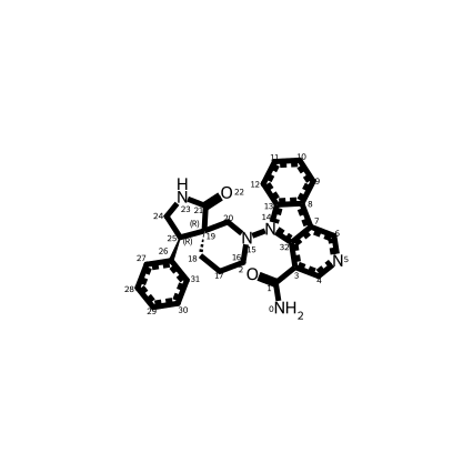 NC(=O)c1cncc2c3ccccc3n(N3CCC[C@@]4(C3)C(=O)NC[C@@H]4c3ccccc3)c12